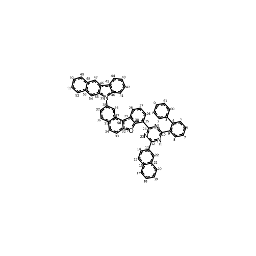 c1ccc(-c2ccccc2-c2nc(-c3ccc4ccccc4c3)nc(-c3cccc4c3oc3ccc5ccc(-n6c7ccccc7c7cc8ccccc8cc76)cc5c34)n2)cc1